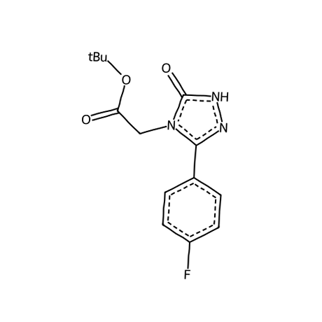 CC(C)(C)OC(=O)Cn1c(-c2ccc(F)cc2)n[nH]c1=O